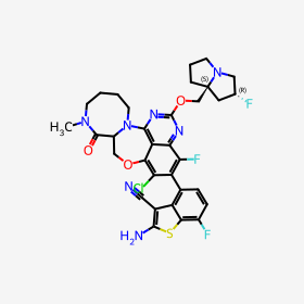 CN1CCCCN2c3nc(OC[C@@]45CCCN4C[C@H](F)C5)nc4c(F)c(-c5ccc(F)c6sc(N)c(C#N)c56)c(Cl)c(c34)OCC2C1=O